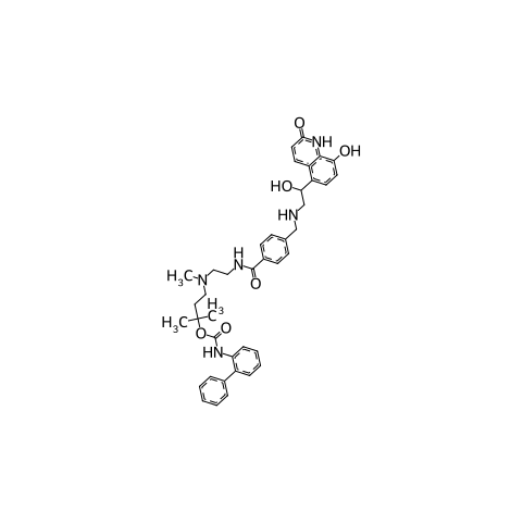 CN(CCNC(=O)c1ccc(CNCC(O)c2ccc(O)c3[nH]c(=O)ccc23)cc1)CCC(C)(C)OC(=O)Nc1ccccc1-c1ccccc1